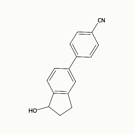 N#Cc1ccc(-c2ccc3c(c2)CCC3O)cc1